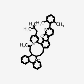 C=C1CC2c3ccccc3-c3cccc[n+]3C2CCc2ccc3c(oc4nc(-c5c(C)cccc5C)ccc43)c2-c2cc(CC(C)C)cc[n+]21